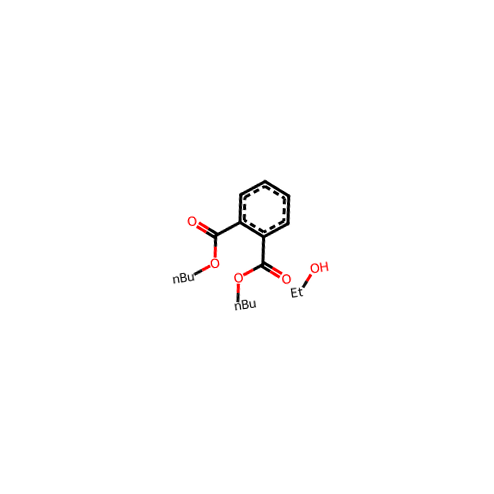 CCCCOC(=O)c1ccccc1C(=O)OCCCC.CCO